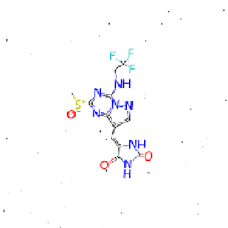 C[S+]([O-])c1nc(NCC(F)(F)F)n2ncc(/C=C3\NC(=O)NC3=O)c2n1